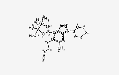 Cc1cc2c(cnn2C2CCCCO2)c(B2OC(C)(C)C(C)(C)O2)c1CCC=O